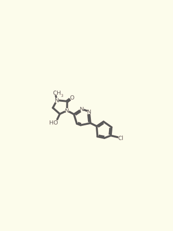 CN1CC(O)N(c2ccc(-c3ccc(Cl)cc3)nn2)C1=O